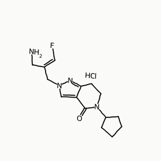 Cl.NCC(=CF)Cn1cc2c(n1)CCN(C1CCCC1)C2=O